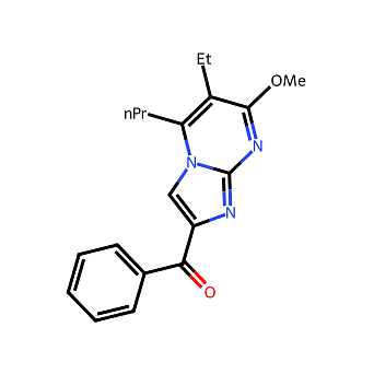 CCCc1c(CC)c(OC)nc2nc(C(=O)c3ccccc3)cn12